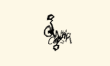 CC(=O)N(NC(C(=O)O)C(=O)CCCc1ccccc1)OCc1ccccc1